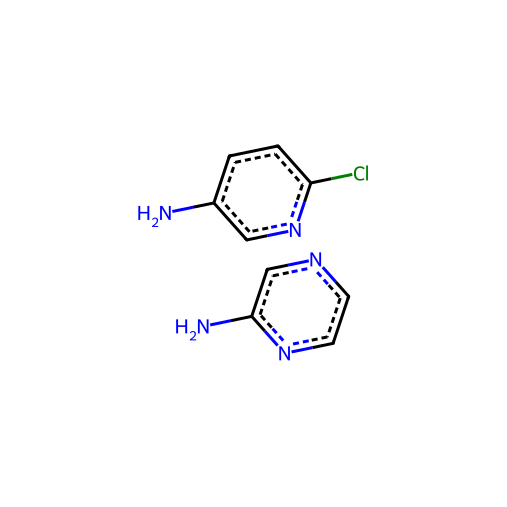 Nc1ccc(Cl)nc1.Nc1cnccn1